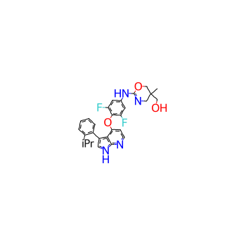 CC(C)c1ccccc1-c1c[nH]c2nccc(Oc3c(F)cc(NC4=NCC(C)(CO)CO4)cc3F)c12